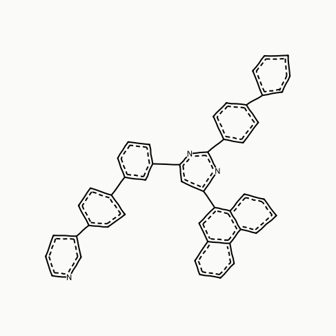 c1ccc(-c2ccc(-c3nc(-c4cccc(-c5ccc(-c6cccnc6)cc5)c4)cc(-c4cc5ccccc5c5ccccc45)n3)cc2)cc1